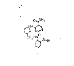 Cc1cccc(Nc2nc(ONc3ccccc3N=N)ncc2C(N)=O)c1